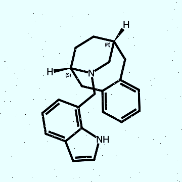 c1ccc2c(c1)C[C@H]1CC[C@@H](C2)N(Cc2cccc3cc[nH]c23)C1